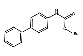 CC(C)(C)OC(=O)Nc1ccc(-c2[c]cccc2)cc1